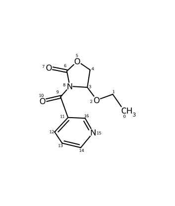 CCOC1COC(=O)N1C(=O)c1cccnc1